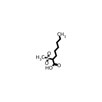 CCCCCCC(C(=O)O)S(C)(=O)=O